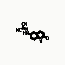 Cn1c(=O)ccc2cc(NN=C(C#N)C#N)ccc21